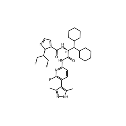 Cc1n[nH]c(C)c1-c1ccc(NC(=O)[C@@H](NC(=O)c2ccnn2C(CF)CF)C(C2CCCCC2)C2CCCCC2)nc1F